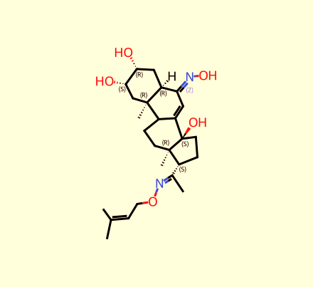 CC(C)=CCON=C(C)[C@H]1CC[C@@]2(O)C3=C/C(=N\O)[C@@H]4C[C@@H](O)[C@@H](O)C[C@]4(C)C3CC[C@]12C